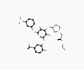 CCOC(=O)CN1CCC(Oc2c(F)c(Oc3cccc(N(C)C)c3)nc(Oc3cc(C(=N)N)ccc3O)c2F)C1